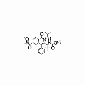 CON(C)C(=O)c1ccc2c(=O)n(CC(C)C)c(C(NC(=O)O)C(C)(C)C)c(-c3ccccc3)c2c1